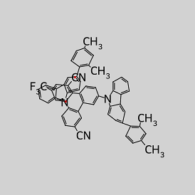 Cc1ccc(-c2ccc3c(c2)c2ccccc2n3-c2ccc(-c3ccc(C(F)(F)F)cc3C#N)c(-c3cc(C#N)ccc3-n3c4ccccc4c4cc(-c5ccc(C)cc5C)ccc43)c2)c(C)c1